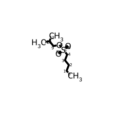 CCCCCS(=O)(=O)OCC(C)C